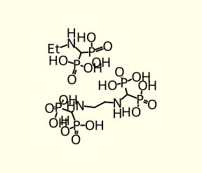 O=P(O)(O)C(NCCNC(P(=O)(O)O)P(=O)(O)O)P(=O)(O)O.[CH2]CNC(P(=O)(O)O)P(=O)(O)O